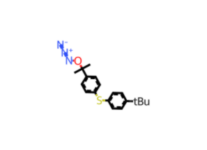 CC(C)(C)c1ccc(Sc2ccc(C(C)(C)ON=[N+]=[N-])cc2)cc1